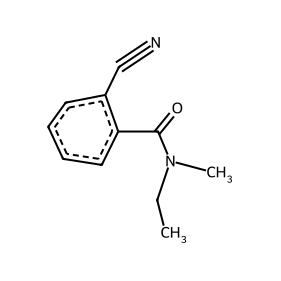 CCN(C)C(=O)c1ccccc1C#N